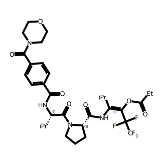 CCC(=O)O/C(=C(/NC(=O)[C@@H]1CCCN1C(=O)[C@@H](NC(=O)c1ccc(C(=O)N2CCOCC2)cc1)C(C)C)C(C)C)C(F)(F)C(F)(F)F